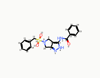 O=C(Nc1[nH]nc2c1CN(S(=O)(=O)Cc1ccccc1)C2)c1ccccc1